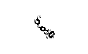 N#Cc1ccc(Sc2ccc(C(=O)N[C@H]3CN4CCC3CC4)cc2)cn1